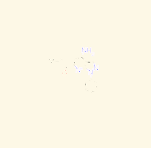 COC(=O)c1cc(N)c2c(C3CCC3)nn(-c3ccc(F)cc3)c2n1